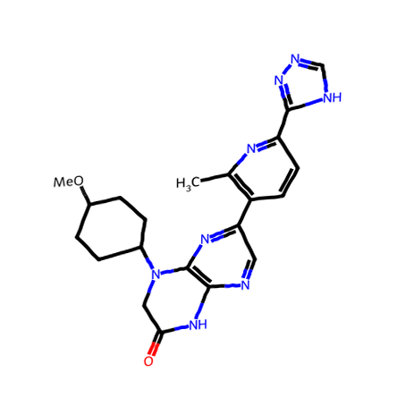 COC1CCC(N2CC(=O)Nc3ncc(-c4ccc(-c5nnc[nH]5)nc4C)nc32)CC1